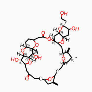 C=C1CC2CCC(=O)CC3O[C@H]4[C@@H](O)[C@H]5OC(CC[C@@H]5O[C@H]4[C@H]3O)CC(=O)O[C@@H]3C[C@@H]4O[C@H](CCO)C(O)C[C@@H]4OC3C[C@H]3O[C@@H](CCC1O2)C[C@@H](C)C3=C